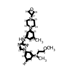 COCCN(C)c1cc(F)cc(-n2cnc(Nc3cc(C)cc(N4CCN(C5COC5)CC4)c3)n2)c1